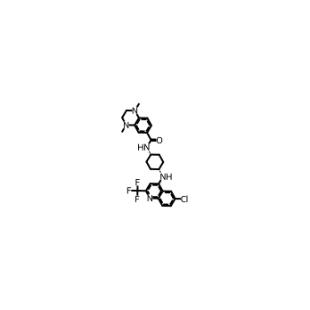 CN1CCN(C)c2cc(C(=O)N[C@H]3CC[C@@H](Nc4cc(C(F)(F)F)nc5ccc(Cl)cc45)CC3)ccc21